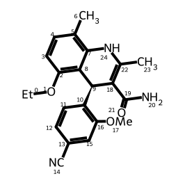 CCOc1ccc(C)c2c1[C@H](c1ccc(C#N)cc1OC)C(C(N)=O)=C(C)N2